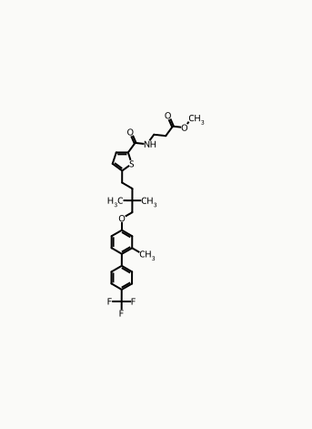 COC(=O)CCNC(=O)c1ccc(CCC(C)(C)COc2ccc(-c3ccc(C(F)(F)F)cc3)c(C)c2)s1